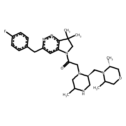 CC1CN(CC(=O)N2CC(C)(C)c3nnc(Cc4ccc(F)cc4)cc32)[C@@H](CN2C(C)COC[C@H]2C)CN1